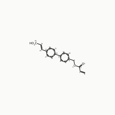 C=CC(=O)OCc1ccc(-c2ccc(C=CC(=O)O)cc2)cc1